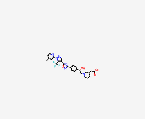 Cc1ccnc(-n2ncc(-c3nc(-c4ccc([C@H](O)CN5CCC[C@H](CC(=O)O)C5)cc4)no3)c2C(F)(F)F)c1